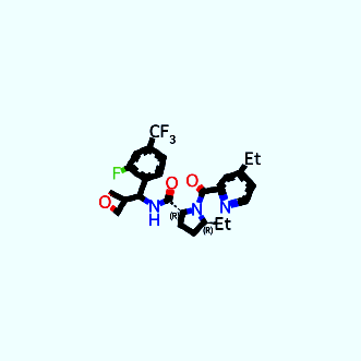 CCc1ccnc(C(=O)N2[C@H](CC)CC[C@@H]2C(=O)NC(c2ccc(C(F)(F)F)cc2F)C2COC2)c1